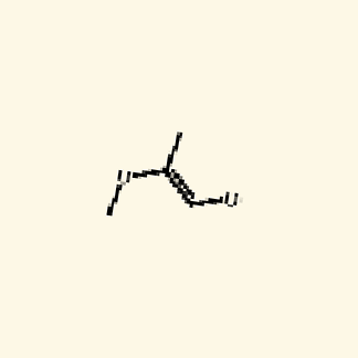 COC(C)=C[O]